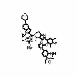 CCP(=O)(CC)c1ccc(-n2ccn(-c3c4c(nn3-c3cc(C)c(F)c(C)c3)CCN(C(=O)c3cc5cc(C6CCOCC6)ccc5n3[C@@]3(c5noc(=O)[nH]5)C[C@@H]3C)[C@H]4C)c2=O)cc1NC.[Na]